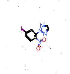 O=[N+]([O-])c1ccc(I)cc1-n1nccn1